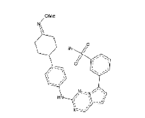 CON=C1CCC(c2ccc(Nc3ncc4ccc(-c5cccc(S(=O)(=O)C(C)C)c5)n4n3)cc2)CC1